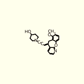 COc1cccc2c1CC(=CCCN1CCC(O)CC1)c1cccnc1O2